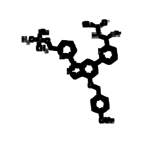 CCC[C@H](N[S@+]([O-])C(C)(C)C)c1cccc(-c2cc(OCc3ccc(OC)cc3)c3cnn(-c4cccc(CO[Si](C)(C)C(C)(C)C)n4)c3c2)n1